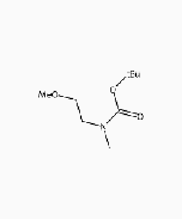 COCCN(C)C(=O)OC(C)(C)C